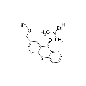 CC(C)OCc1ccc2sc3ccccc3c(=O)c2c1.CCN(C)C.I